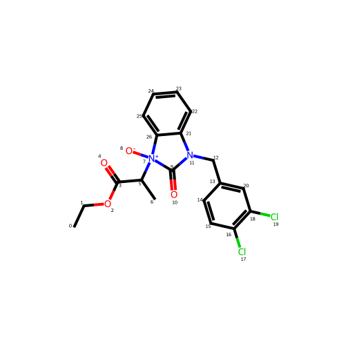 CCOC(=O)C(C)[N+]1([O-])C(=O)N(Cc2ccc(Cl)c(Cl)c2)c2ccccc21